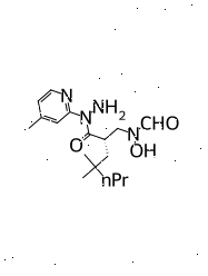 CCCC(C)(C)C[C@@H](CN(O)C=O)C(=O)N(N)c1cc(C)ccn1